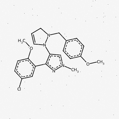 COc1ccc(CN2CC=CN2c2cn(C)nc2-c2cc(Cl)ccc2OC)cc1